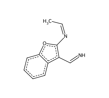 C/C=N\c1oc2ccccc2c1C=N